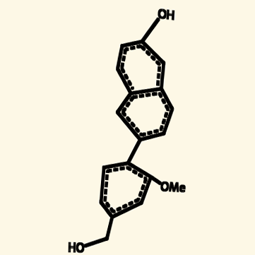 COc1cc(CO)ccc1-c1ccc2cc(O)ccc2c1